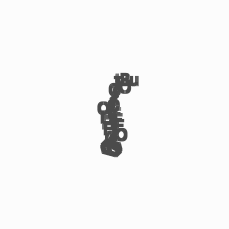 CC(C)(C)C(=O)OCCOC(=O)C(F)(F)C(F)(F)C(F)(F)C(=O)OC12CC3CC(CC(C3)C1)C2